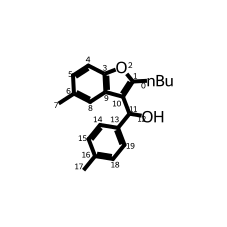 CCCCc1oc2ccc(C)cc2c1C(O)c1ccc(C)cc1